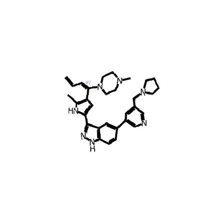 C=C/C=C(\c1cc(-c2n[nH]c3ccc(-c4cncc(CN5CCCC5)c4)cc23)[nH]c1C)N1CCN(C)CC1